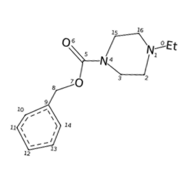 [CH2]CN1CCN(C(=O)OCc2ccccc2)CC1